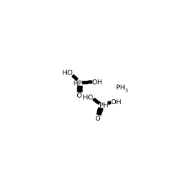 O=[PH](O)O.O=[PH](O)O.P